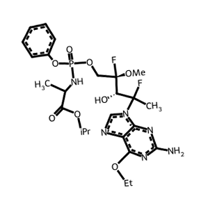 CCOc1nc(N)nc2c1ncn2C(C)(F)[C@H](O)[C@@](F)(COP(=O)(NC(C)C(=O)OC(C)C)Oc1ccccc1)OC